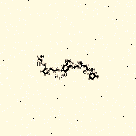 COc1cc2c(Nc3ncc(CC(=O)Nc4cccc(F)c4)s3)ncnc2cc1OCCCN1CCC[C@H]1CNCCO